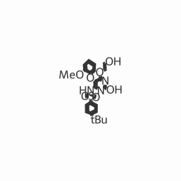 COc1ccccc1Oc1c(NS(=O)(=O)c2ccc(C(C)(C)C)cc2)nc(O)nc1OCCO